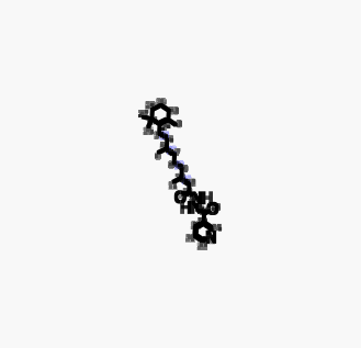 CC1=C(/C=C/C(C)=C/C=C/C(C)=C/C(=O)NNC(=O)c2cccnc2)C(C)(C)CCC1